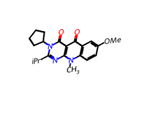 COc1ccc2c(c1)c(=O)c1c(=O)n(C3CCCC3)c(C(C)C)nc1n2C